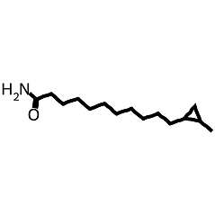 CC1CC1CCCCCCCCCCC(N)=O